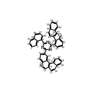 c1ccc2c(-c3nc(-c4ccc5ncc6ccc7ccccc7c6c5c4)nc(-c4cccc5oc6c7ccccc7ccc6c45)n3)cccc2c1